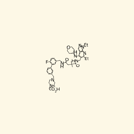 CCc1nc2c(cnn2CC)c(NC2CCOCC2)c1CNC(=O)C(C)(C)CC(=O)NCc1ccc(F)c(-c2cccc(CN3CCN(C(=O)O)[C@@H](C)C3)c2)c1